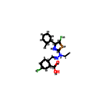 CCN(/N=C/c1ccc(F)cc1C(=O)O)c1nc(-c2ccccc2C)c(F)s1